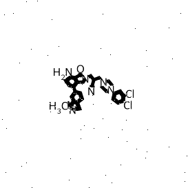 Cn1ncc2ccc(-c3ccc(N)c4c3CN(CC(C#N)CN3CCN(c5ccc(Cl)c(Cl)c5)CC3)C4=O)cc21